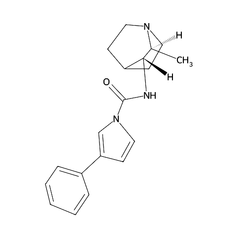 C[C@H]1[C@H](NC(=O)n2ccc(-c3ccccc3)c2)C2CCN1CC2